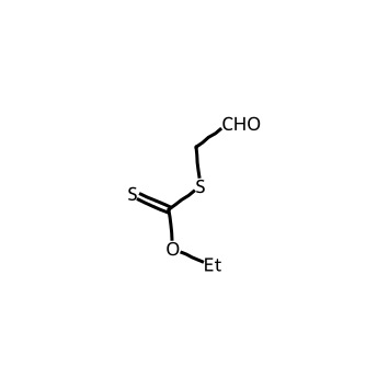 CCOC(=S)SCC=O